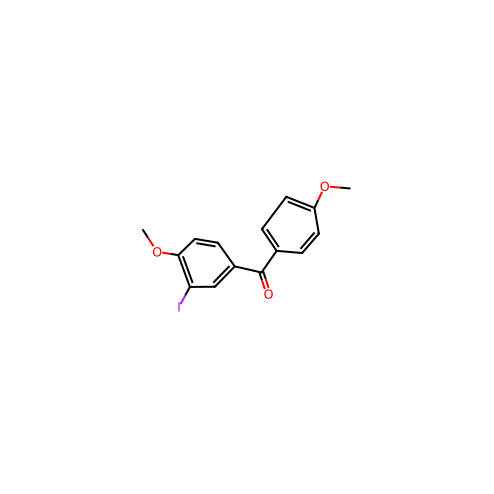 COc1ccc(C(=O)c2ccc(OC)c(I)c2)cc1